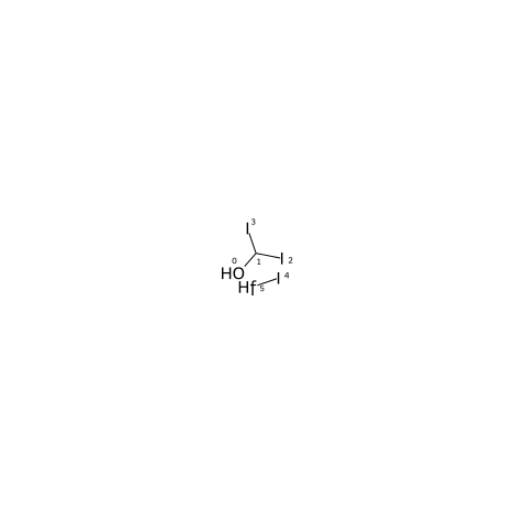 OC(I)I.[I][Hf]